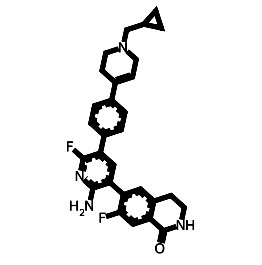 Nc1nc(F)c(-c2ccc(C3=CCN(CC4CC4)CC3)cc2)cc1-c1cc2c(cc1F)C(=O)NCC2